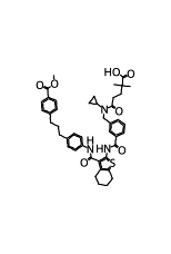 COC(=O)c1ccc(CCCc2ccc(NC(=O)c3c(NC(=O)c4cccc(CN(C(=O)CCC(C)(C)C(=O)O)C5CC5)c4)sc4c3CCCC4)cc2)cc1